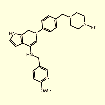 CCN1CCN(Cc2ccc(N3C=C(NCc4ccc(OC)nc4)c4cc[nH]c4C3)cc2)CC1